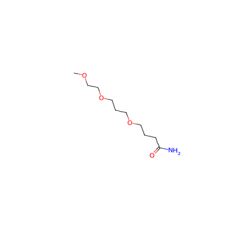 COCCOCCCOCCCC(N)=O